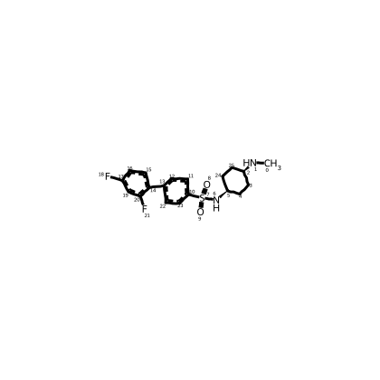 CN[C@H]1CC[C@@H](NS(=O)(=O)c2ccc(-c3ccc(F)cc3F)cc2)CC1